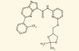 CC1(C)OCC(COc2cccc(NC(=O)c3cnc4ccc(-c5ccccc5C(F)(F)F)nn34)n2)O1